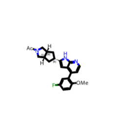 COc1ccc(F)cc1-c1ccnc2[nH]c([C@@H]3C[C@@H]4CN(C(C)=O)C[C@@H]4C3)cc12